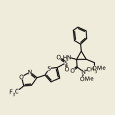 COCC1C(c2ccccc2)C1(NS(=O)(=O)c1ccc(-c2cc(C(F)(F)F)on2)s1)C(=O)N(C)OC